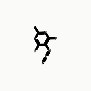 Cc1nc(F)c(N=C=S)c(F)n1